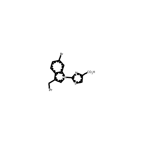 CC(C)Cc1cn(-c2nc(C(=O)O)cs2)c2cc(Br)ccc12